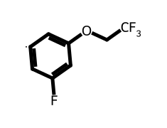 Fc1c[c]cc(OCC(F)(F)F)c1